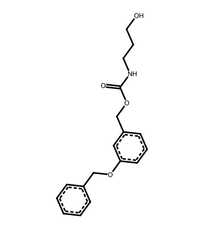 O=C(NCCCO)OCc1cccc(OCc2ccccc2)c1